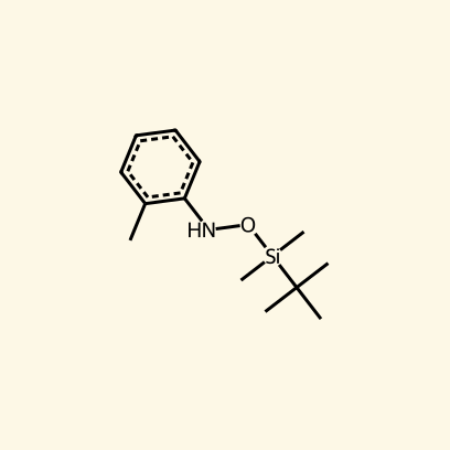 Cc1ccccc1NO[Si](C)(C)C(C)(C)C